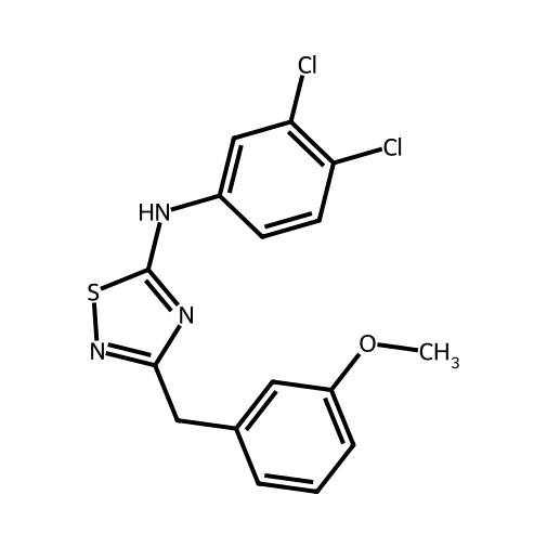 COc1cccc(Cc2nsc(Nc3ccc(Cl)c(Cl)c3)n2)c1